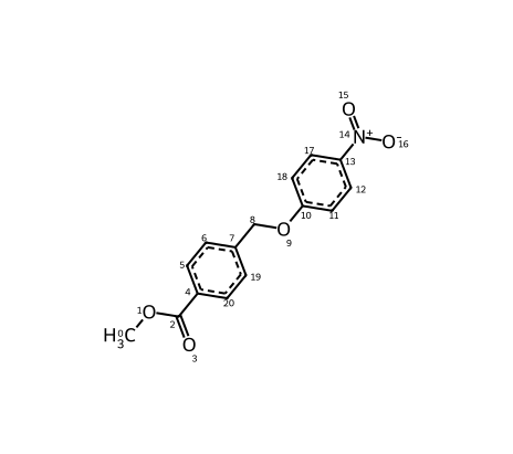 COC(=O)c1ccc(COc2ccc([N+](=O)[O-])cc2)cc1